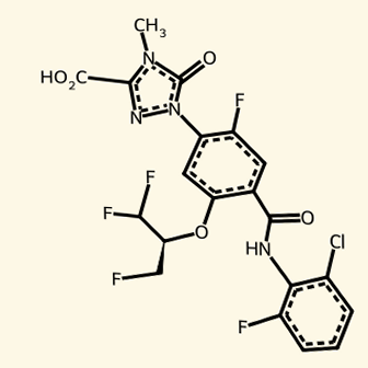 Cn1c(C(=O)O)nn(-c2cc(O[C@@H](CF)C(F)F)c(C(=O)Nc3c(F)cccc3Cl)cc2F)c1=O